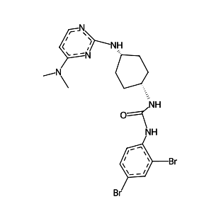 CN(C)c1ccnc(N[C@H]2CC[C@@H](NC(=O)Nc3ccc(Br)cc3Br)CC2)n1